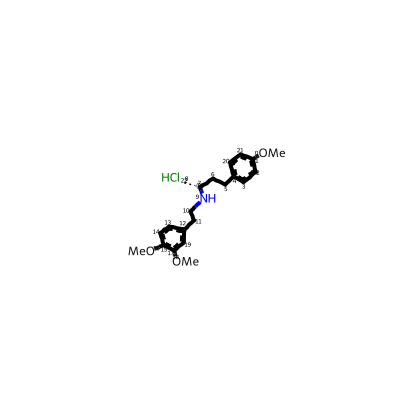 COc1ccc(CC[C@@H](C)NCCc2ccc(OC)c(OC)c2)cc1.Cl